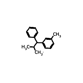 [CH2]C(C)C(c1ccccc1)c1cccc(C)c1